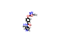 CC(=O)c1nnc(Oc2ccc(C(=O)N[C@H]3CN4CCC3CC4)cc2)o1